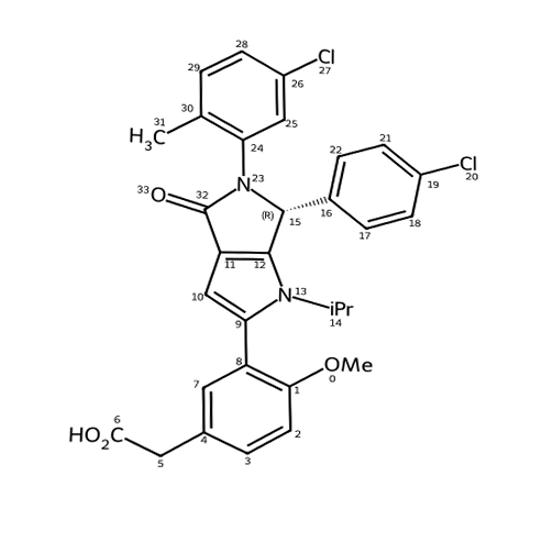 COc1ccc(CC(=O)O)cc1-c1cc2c(n1C(C)C)[C@@H](c1ccc(Cl)cc1)N(c1cc(Cl)ccc1C)C2=O